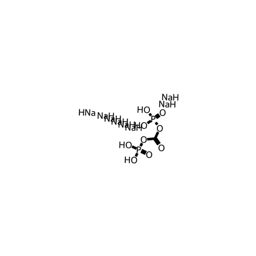 O=C(OP(=O)(O)O)OP(=O)(O)O.[NaH].[NaH].[NaH].[NaH].[NaH].[NaH].[NaH].[NaH]